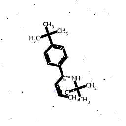 C/C=C\[C@@H](NC(C)(C)C)c1ccc(C(C)(C)C)cc1